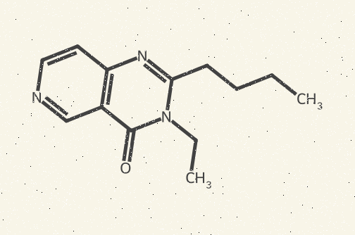 CCCCc1nc2ccncc2c(=O)n1CC